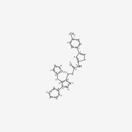 Cc1ccc(C2=CCC(NC(=O)CSc3nnc(-c4ccccc4)n3Cc3ccco3)=C2)cc1